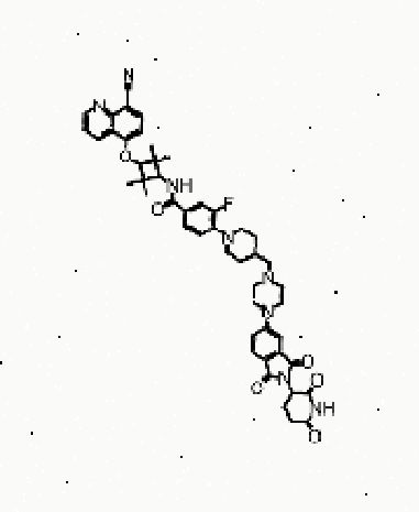 CC1(C)C(NC(=O)c2ccc(N3CCC(CN4CCN(c5ccc6c(c5)C(=O)N(C5CCC(=O)NC5=O)C6=O)CC4)CC3)c(F)c2)C(C)(C)C1Oc1ccc(C#N)c2ncccc12